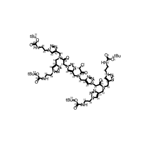 CC(C)(C)OC(=O)NCCn1cc(CN(Cc2cn(CCNC(=O)OC(C)(C)C)nn2)C(=O)Cn2cc(CN(Cc3cn(CC(=O)N(Cc4cn(CCNC(=O)OC(C)(C)C)nn4)Cc4cn(CCNC(=O)OC(C)(C)C)nn4)nn3)C(=O)CCl)nn2)nn1